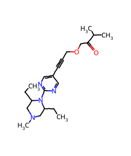 CCC1CN(C)CC(CC)N1c1ncc(C#CCOCC(=O)C(C)C)cn1